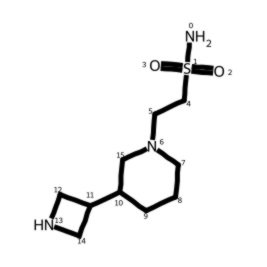 NS(=O)(=O)CCN1CCCC(C2CNC2)C1